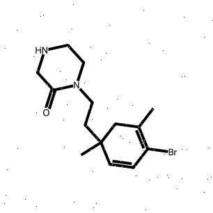 CC1=C(Br)C=CC(C)(CCN2CCNCC2=O)C1